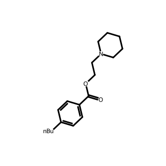 CCCCc1ccc(C(=O)OCCN2CCCCC2)cc1